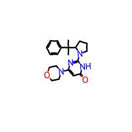 CC(C)(c1ccccc1)C1CCCN1c1nc(N2CCOCC2)cc(=O)[nH]1